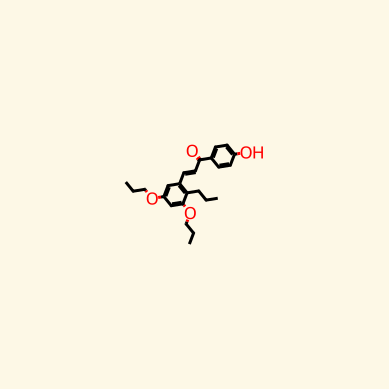 CCCOc1cc(C=CC(=O)c2ccc(O)cc2)c(CCC)c(OCCC)c1